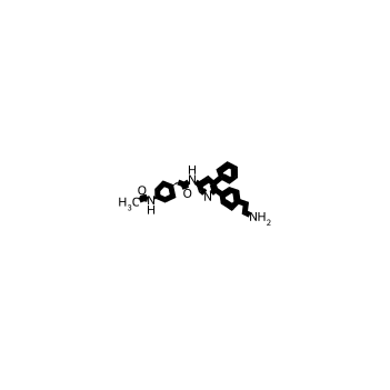 CC(=O)N[C@H]1CC[C@H](CC(=O)Nc2cnc(-c3ccc(CCN)cc3)c(-c3ccccc3)c2)CC1